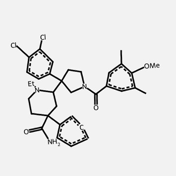 CCN1CCC(C(N)=O)(c2ccccc2)CC1C1(c2ccc(Cl)c(Cl)c2)CCN(C(=O)c2cc(C)c(OC)c(C)c2)C1